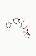 O=C(NC1CCOc2ccc(-c3cccc(F)c3)cc21)O[C@H]1CN2CCC1CC2